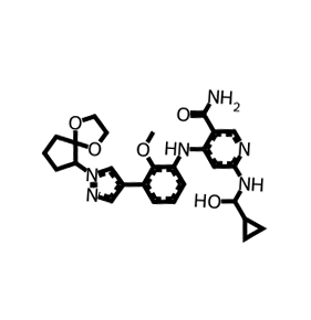 COc1c(Nc2cc(NC(O)C3CC3)ncc2C(N)=O)cccc1-c1cnn(C2CCCC23OCCO3)c1